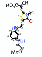 CCn1c(=C=C(C#N)C(=O)O)sc(=C=CNc2cccc(NCCOC)c2)c1=O